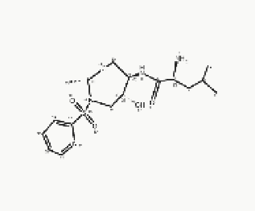 CC(C)C[C@H](N)C(=O)N[C@@H]1CC[C@@H](C)N(S(=O)(=O)c2ccccn2)C[C@H]1O